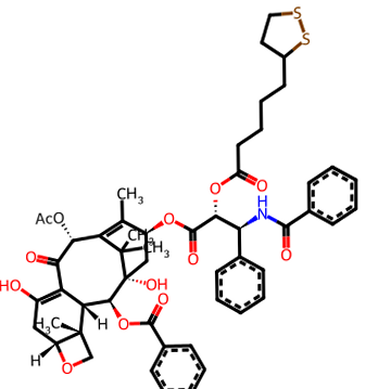 CC(=O)O[C@H]1C(=O)C2=C(O)C[C@H]3OC[C@@]3(C)[C@H]2[C@H](OC(=O)c2ccccc2)[C@]2(O)C[C@H](OC(=O)[C@H](OC(=O)CCCCC3CCSS3)[C@@H](NC(=O)c3ccccc3)c3ccccc3)C(C)=C1C2(C)C